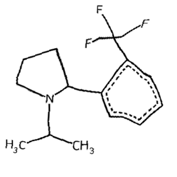 CC(C)N1CCCC1c1ccccc1C(F)(F)F